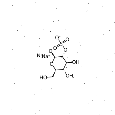 O=S(=O)([O-])O[C@@H]1[C@@H](O)[C@H](O)[C@@H](CO)O[C@H]1[O-].[Na+].[Na+]